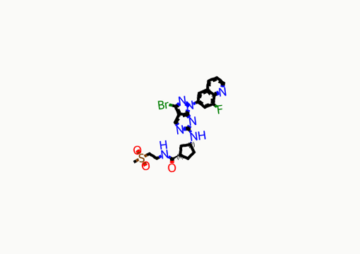 CS(=O)(=O)CCNC(=O)[C@@H]1CC[C@@H](Nc2ncc3c(Br)nn(-c4cc(F)c5ncccc5c4)c3n2)C1